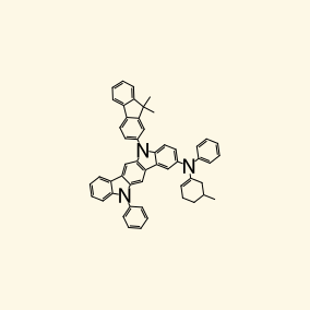 CC1CCC=C(N(c2ccccc2)c2ccc3c(c2)c2cc4c(cc2n3-c2ccc3c(c2)C(C)(C)c2ccccc2-3)c2ccccc2n4-c2ccccc2)C1